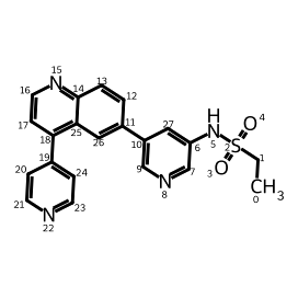 CCS(=O)(=O)Nc1cncc(-c2ccc3nccc(-c4ccncc4)c3c2)c1